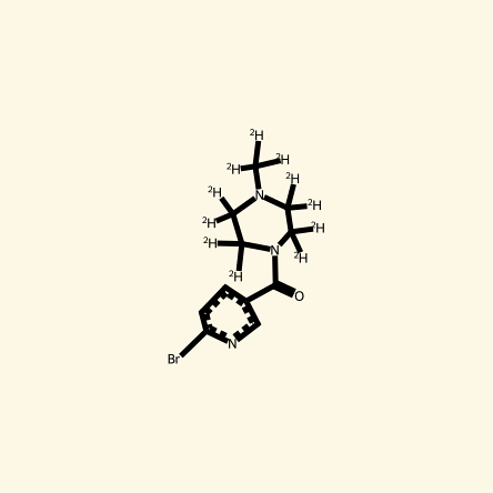 [2H]C([2H])([2H])N1C([2H])([2H])C([2H])([2H])N(C(=O)c2ccc(Br)nc2)C([2H])([2H])C1([2H])[2H]